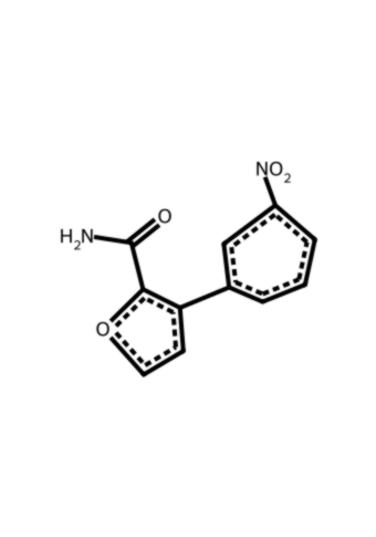 NC(=O)c1occc1-c1cccc([N+](=O)[O-])c1